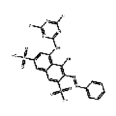 O=S(=O)(O)c1cc(Nc2nc(Cl)nc(Cl)n2)c2c(O)c(N=Nc3ccccc3)c(S(=O)(=O)O)cc2c1